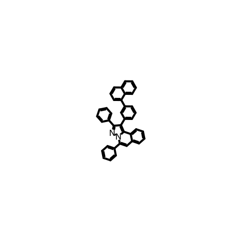 c1ccc(-c2nn3c(-c4ccccc4)cc4ccccc4c3c2-c2cccc(-c3cccc4ccccc34)c2)cc1